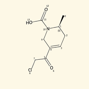 C[C@H]1CC=C(C(=O)CCl)CN1C(=O)O